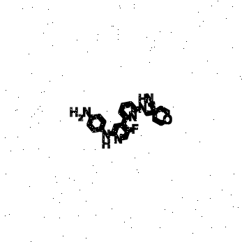 N#CC1(CNc2cccc(-c3cc(NC4CCC(N)CC4)ncc3F)n2)CCOCC1